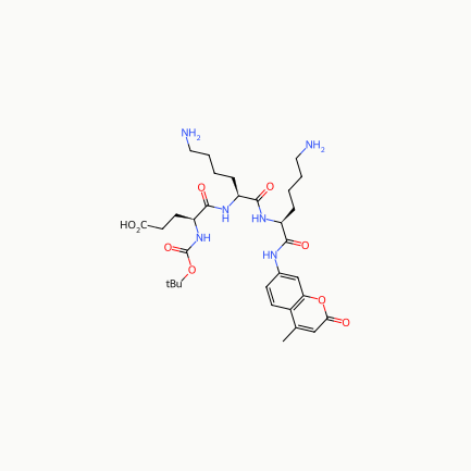 Cc1cc(=O)oc2cc(NC(=O)[C@H](CCCCN)NC(=O)[C@H](CCCCN)NC(=O)[C@H](CCC(=O)O)NC(=O)OC(C)(C)C)ccc12